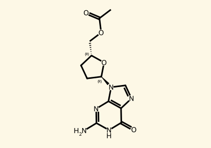 CC(=O)OC[C@H]1CC[C@H](n2cnc3c(=O)[nH]c(N)nc32)O1